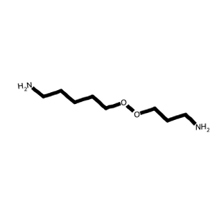 NCCCCCOOCCCN